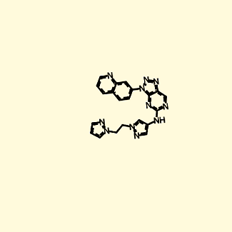 c1cnc2cc(-n3nnc4cnc(Nc5cnn(CCn6cccn6)c5)nc43)ccc2c1